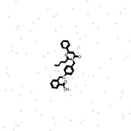 CCCCc1nc(-c2ccccc2)cc(=O)n1Cc1ccc(OCc2ccccc2C(=O)O)cc1